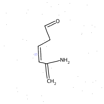 C=C(N)/C=C\CC=O